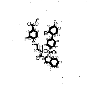 COC(=O)c1ccc(OCCNC(=O)[C@@H]2Cc3ccccc3N2S(=O)(=O)c2ccc(-c3ccc(F)cc3F)cc2)c(F)c1